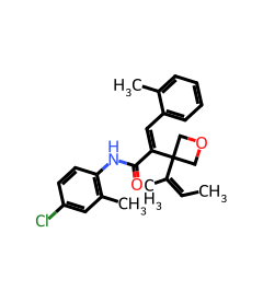 C/C=C(/C)C1(/C(=C\c2ccccc2C)C(=O)Nc2ccc(Cl)cc2C)COC1